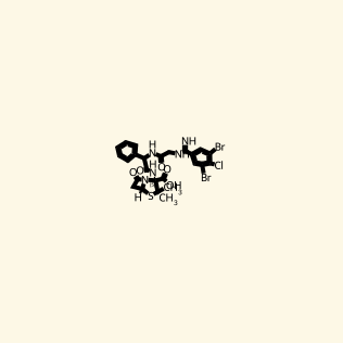 CC1(C)S[C@@H]2CC(=O)N2[C@@]1(NC(=O)C(NC(=O)CNC(=N)c1cc(Br)c(Cl)c(Br)c1)c1ccccc1)C(=O)O